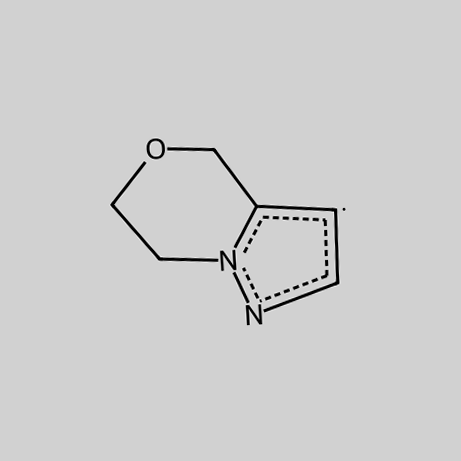 [c]1cnn2c1COCC2